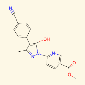 COC(=O)c1ccc(-n2nc(C)c(-c3ccc(C#N)cc3)c2O)nc1